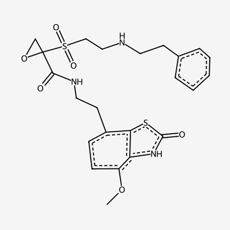 COc1ccc(CCNC(=O)C2(S(=O)(=O)CCNCCc3ccccc3)CO2)c2sc(=O)[nH]c12